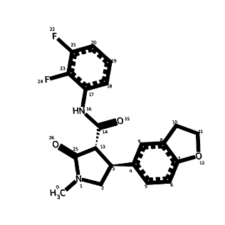 CN1C[C@H](c2ccc3c(c2)CCO3)[C@@H](C(=O)Nc2cccc(F)c2F)C1=O